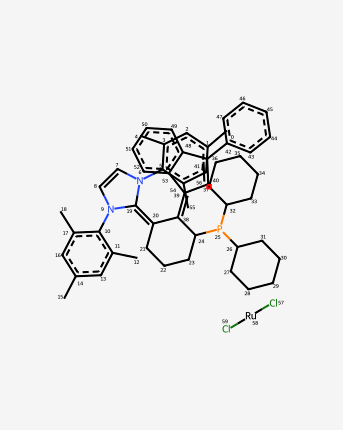 Cc1cc(C)c(N2C=CN(c3c(C)cc(C)cc3C)C2=C2CCCC(P(C3CCCCC3)C3CCCCC3)C2=C2C=C(c3ccccc3)c3ccccc32)c(C)c1.[Cl][Ru][Cl]